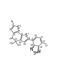 Cc1cc2c(s1)-c1sc(-c3ccc(C)c4nsnc34)cc1C(C)(C)C2